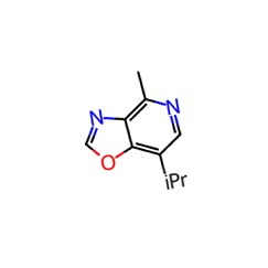 Cc1ncc(C(C)C)c2ocnc12